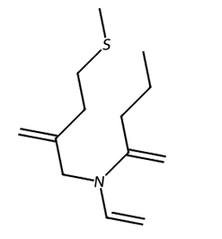 C=CN(CC(=C)CCSC)C(=C)CCC